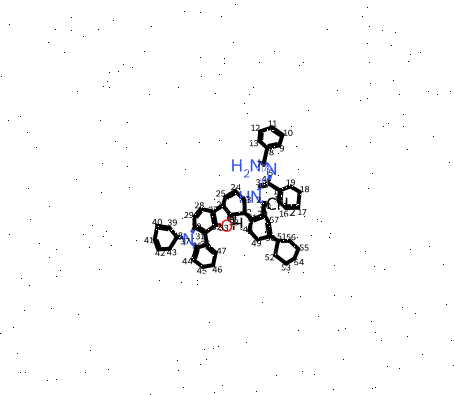 C=C(N/C=C(/N=C(\N)c1ccccc1)C1=CC=CCC1)C1=C(C2CC=CC3c4ccc5c(c4O[C@@H]23)c2c(n5C3C=CC=CC3)=CCCC=2)CCC(C2CCCCC2)=C1